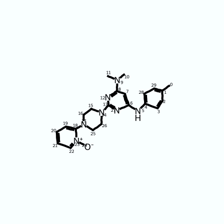 Cc1ccc(Nc2cc(N(C)C)nc(N3CCN(c4cccc[n+]4[O-])CC3)n2)cc1